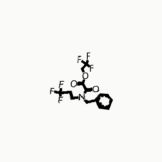 O=C(OCC(F)(F)F)C(=O)N(CCC(F)(F)F)Cc1ccccc1